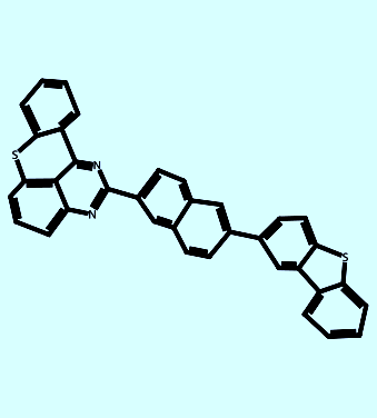 c1ccc2c(c1)Sc1cccc3nc(-c4ccc5cc(-c6ccc7sc8ccccc8c7c6)ccc5c4)nc-2c13